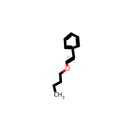 CCCCO/C=C/c1ccccc1